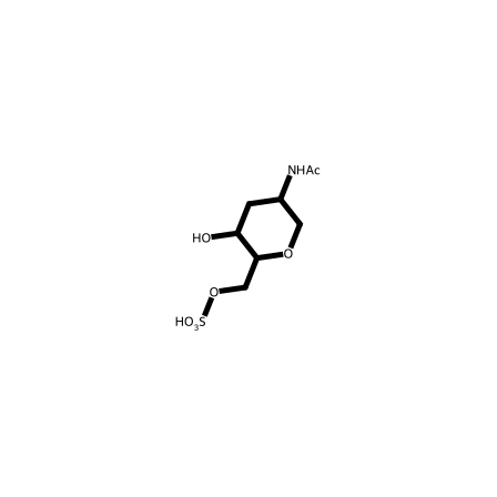 CC(=O)NC1COC(COS(=O)(=O)O)C(O)C1